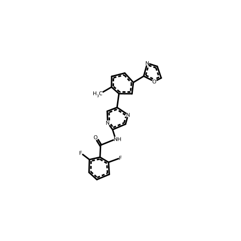 Cc1ccc(-c2ncco2)cc1-c1cnc(NC(=O)c2c(F)cccc2F)cn1